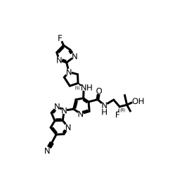 CC(C)(O)[C@H](F)CNC(=O)c1cnc(-n2ncc3cc(C#N)cnc32)cc1N[C@H]1CCN(c2ncc(F)cn2)C1